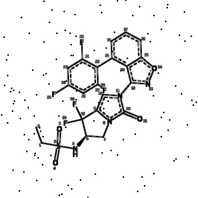 CCS(=O)(=O)N[C@@H]1Cn2c(cn(-c3noc4cccc(-c5c(F)cc(F)cc5F)c34)c2=O)C1(F)F